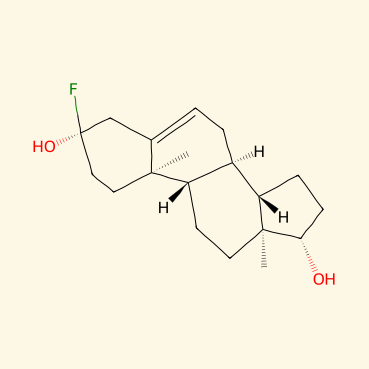 C[C@]12CC[C@H]3[C@@H](CC=C4C[C@](O)(F)CC[C@@]43C)[C@@H]1CC[C@@H]2O